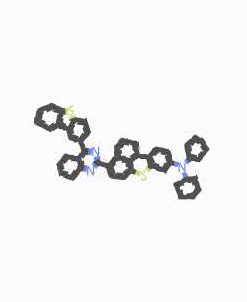 c1ccc(N(c2ccccc2)c2ccc3c(c2)Sc2ccc(-c4nc(-c5ccc6sc7ccccc7c6c5)c5ccccc5n4)c4cccc-3c24)cc1